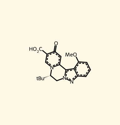 COc1cccc2nn3c(c12)-c1cc(=O)c(C(=O)O)cn1[C@@H](C(C)(C)C)C3